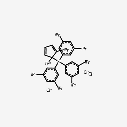 CC(C)C1=CC=C[C]1([Ti+3])[Si](c1cc(C(C)C)cc(C(C)C)c1)(c1cc(C(C)C)cc(C(C)C)c1)c1cc(C(C)C)cc(C(C)C)c1.[Cl-].[Cl-].[Cl-]